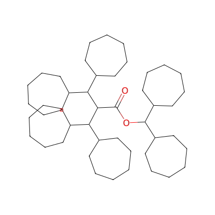 O=C(OC(C1CCCCCC1)C1CCCCCC1)C(C(C1CCCCCC1)C1CCCCCC1)C(C1CCCCCC1)C1CCCCCC1